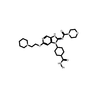 CC(C)NC(=O)C1CCC(n2/c(=N/C(=O)N3CCOCC3)[nH]c3cnc(OCCN4CCCCC4)cc32)CC1